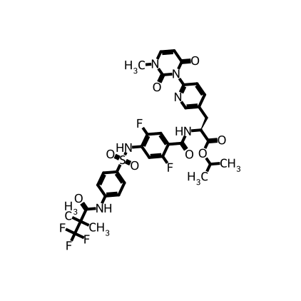 CC(C)OC(=O)[C@H](Cc1ccc(-n2c(=O)ccn(C)c2=O)nc1)NC(=O)c1cc(F)c(NS(=O)(=O)c2ccc(NC(=O)C(C)(C)C(F)(F)F)cc2)cc1F